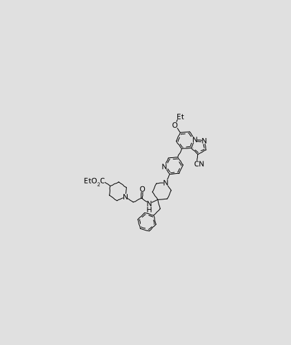 CCOC(=O)C1CCN(CC(=O)NC2(Cc3ccccc3)CCN(c3ccc(-c4cc(OCC)cn5ncc(C#N)c45)cn3)CC2)CC1